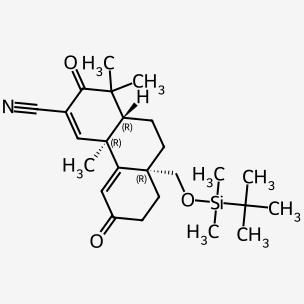 CC1(C)C(=O)C(C#N)=C[C@]2(C)C3=CC(=O)CC[C@]3(CO[Si](C)(C)C(C)(C)C)CC[C@@H]12